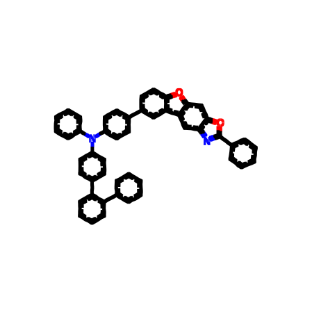 c1ccc(-c2nc3cc4c(cc3o2)oc2ccc(-c3ccc(N(c5ccccc5)c5ccc(-c6ccccc6-c6ccccc6)cc5)cc3)cc24)cc1